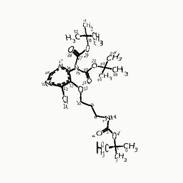 CC(C)(C)OC(=O)NCCCOc1c(Cl)ncnc1N(C(=O)OC(C)(C)C)C(=O)OC(C)(C)C